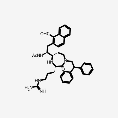 CC(=O)N[C@@H](Cc1ccc2ccccc2c1C=O)[C@@H]1CCN(CC(c2ccccc2)c2ccccc2)C(=O)[C@H](CCCNC(=N)N)N1